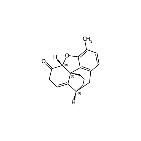 Cc1ccc2c3c1O[C@H]1C(=O)CC=C4[C@H](CCC[C@]431)C2